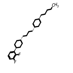 CCCCC[C@H]1CC[C@H](CCCC[C@H]2CC[C@H](c3cccc(F)c3F)CC2)CC1